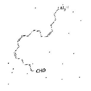 O=CCCCC/C=C\C/C=C\C/C=C\C/C=C\CCCC(=O)O